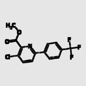 COC(=O)c1nc(-c2ccc(C(F)(F)F)cc2)ccc1Cl